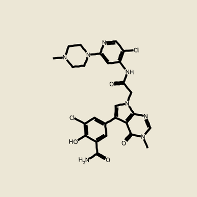 CN1CCN(c2cc(NC(=O)Cn3cc(-c4cc(Cl)c(O)c(C(N)=O)c4)c4c(=O)n(C)cnc43)c(Cl)cn2)CC1